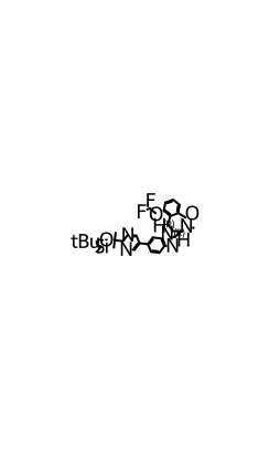 CN1C(=O)c2cccc(OC(F)F)c2[C@H]2C[C@@H]1c1nc3ccc(-c4cnc(C(C)(C)O[Si](C)(C)C(C)(C)C)nc4)cc3n12